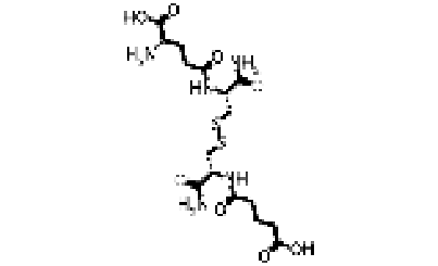 NC(=O)[C@H](CSSC[C@H](NC(=O)CC[C@H](N)C(=O)O)C(N)=O)NC(=O)CCCC(=O)O